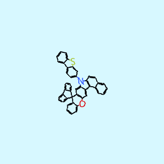 c1ccc2c(c1)Oc1cc3c4c5ccccc5ccc4n(-c4ccc5c(c4)sc4ccccc45)c3cc1C21c2ccccc2-c2ccccc21